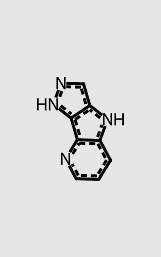 c1cnc2c(c1)[nH]c1cn[nH]c12